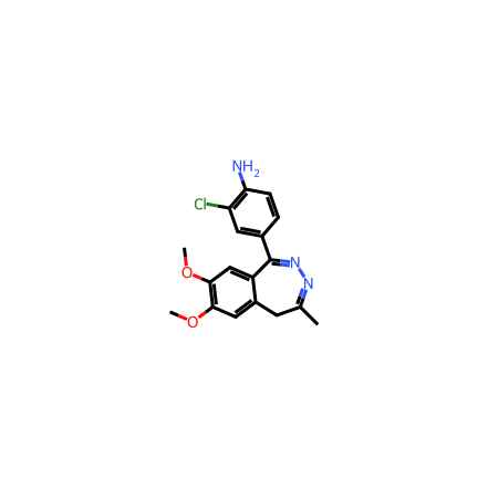 COc1cc2c(cc1OC)C(c1ccc(N)c(Cl)c1)=NN=C(C)C2